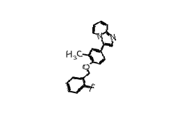 Cc1cc(-c2cnc3ccccn23)ccc1OCc1ccccc1F